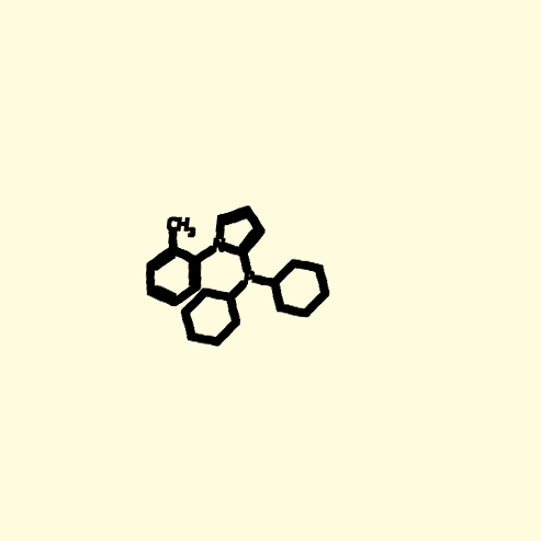 Cc1ccccc1-n1cccc1P(C1CCCCC1)C1CCCCC1